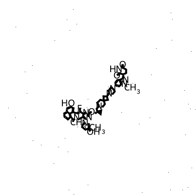 CCc1cccc2cc(O)cc(-c3ncc4c(N5CCC[C@@](C)(O)C5)nc(OCC5(CN6CCC7(CC6)CC(N6CCN(c8ccc9c(C%10CCC(=O)NC%10=O)nn(C)c9c8)CC6)C7)CC5)nc4c3F)c12